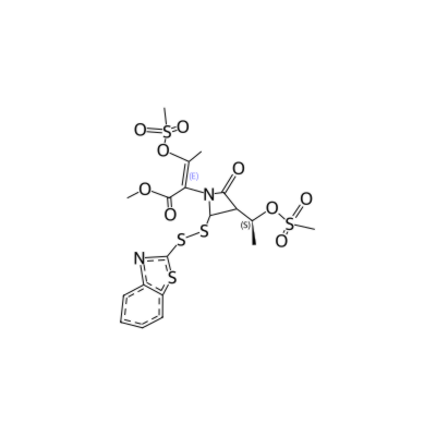 COC(=O)/C(=C(/C)OS(C)(=O)=O)N1C(=O)C([C@H](C)OS(C)(=O)=O)C1SSc1nc2ccccc2s1